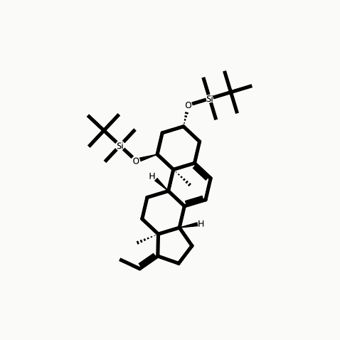 C/C=C1/CC[C@H]2C3=CC=C4C[C@@H](O[Si](C)(C)C(C)(C)C)C[C@H](O[Si](C)(C)C(C)(C)C)[C@]4(C)[C@H]3CC[C@]12C